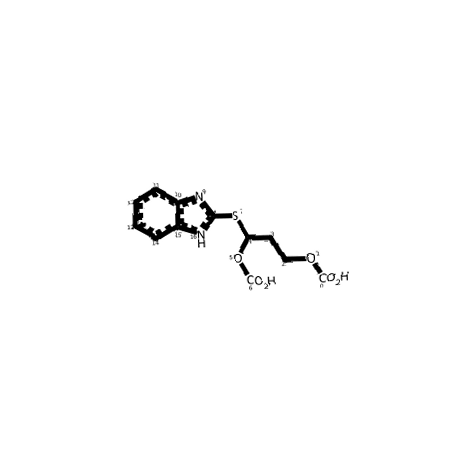 O=C(O)OCCC(OC(=O)O)Sc1nc2ccccc2[nH]1